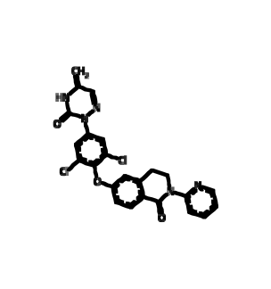 C=C1C=NN(c2cc(Cl)c(Oc3ccc4c(c3)CCN(c3ccccn3)C4=O)c(Cl)c2)C(=O)N1